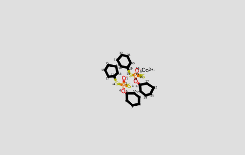 [Co+2].[O-]P(=S)(OC1CCCCC1)SC1CCCCC1.[O-]P(=S)(OC1CCCCC1)SC1CCCCC1